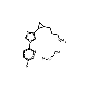 NCCCC1CC1c1cn(-c2ccc(F)cn2)cn1.O=C(O)O